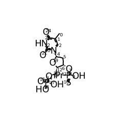 Cc1cn([C@H]2C[C@H](OP(O)(=S)C(C)C)[C@@H](COP(=O)(O)O)O2)c(=O)[nH]c1=O